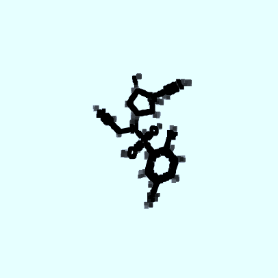 C[C@H]1C[C@@H](N(CC#N)S(=O)(=O)c2cc(Br)ccc2Br)CN1C#N